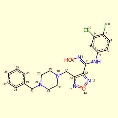 ON=C(Nc1ccc(F)c(Cl)c1)c1nonc1CN1CCN(Cc2ccccc2)CC1